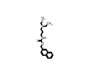 CCN(CC)CCCNC(=S)OCc1ccc2ccccc2c1